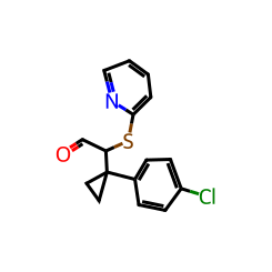 O=CC(Sc1ccccn1)C1(c2ccc(Cl)cc2)CC1